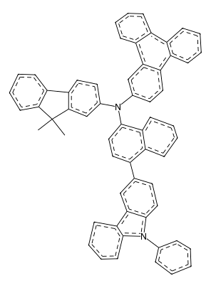 CC1(C)c2ccccc2-c2ccc(N(c3ccc4c5ccccc5c5ccccc5c4c3)c3ccc(-c4ccc5c(c4)c4ccccc4n5-c4ccccc4)c4ccccc34)cc21